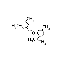 CCCC(CCC)CCOC1CC(C)CCC1C(C)C